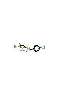 CC(Br)(CCSCc1ccc(Cl)cc1)C(=O)O